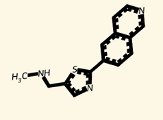 CNCc1cnc(-c2ccc3cnccc3c2)s1